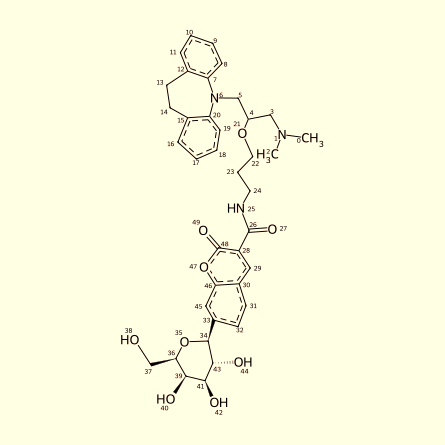 CN(C)CC(CN1c2ccccc2CCc2ccccc21)OCCCNC(=O)c1cc2ccc([C@@H]3O[C@H](CO)[C@H](O)[C@H](O)[C@H]3O)cc2oc1=O